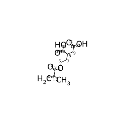 C=C(C)C(=O)OCCC(CC(=O)O)C(=O)O